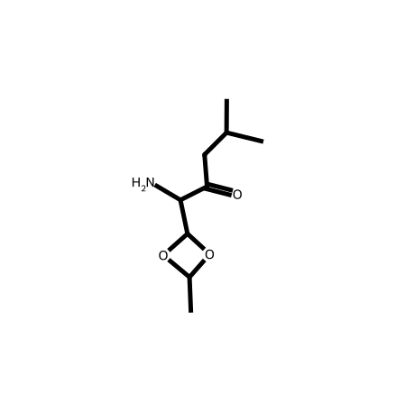 CC(C)CC(=O)C(N)C1OC(C)O1